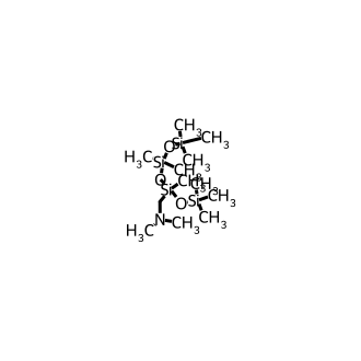 CN(C)C[Si](C)(O[Si](C)(C)C)O[Si](C)(C)O[Si](C)(C)C